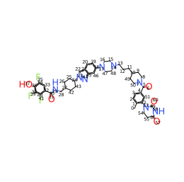 Cc1ccc(C(=O)N2CCC(CCCN3CCN(c4ccc5cn([C@H]6CC[C@H](CNC(=O)c7cc(F)c(O)c(F)c7F)CC6)nc5c4)CC3)CC2)cc1N1CCC(=O)NC1=O